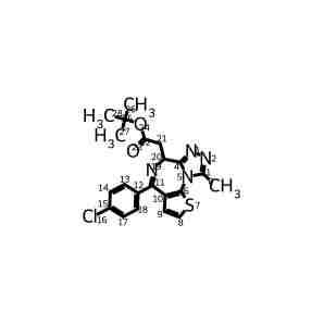 Cc1nnc2n1-c1sccc1C(c1ccc(Cl)cc1)=NC2CC(=O)OC(C)(C)C